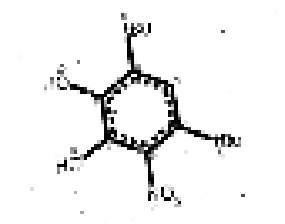 CC(C)(C)c1cc(C(C)(C)C)c([N+](=O)[O-])c(O)c1O